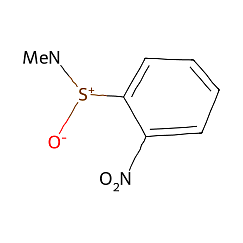 CN[S+]([O-])c1ccccc1[N+](=O)[O-]